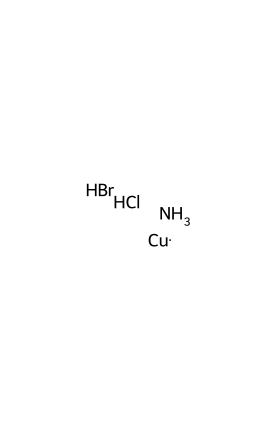 Br.Cl.N.[Cu]